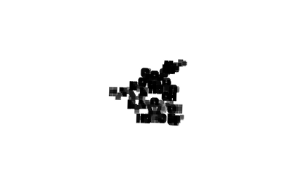 Nc1ncnc2c1ncn2[C@@H]1O[C@H](CO)[C@@H](O)[C@H]1O.O=P([O-])([O-])OP(=O)([O-])OP(=O)(O)O.[Cl-].[Mg+2].[Na+].[Na+]